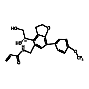 C=CC(=O)NCc1cc(-c2ccc(OC(F)(F)F)cc2)c2c(c1[C@H](O)CO)CCO2